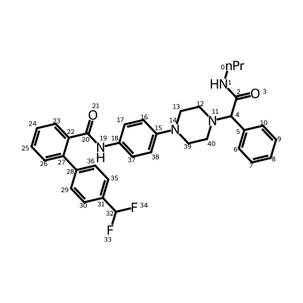 CCCNC(=O)C(c1ccccc1)N1CCN(c2ccc(NC(=O)c3ccccc3-c3ccc(C(F)F)cc3)cc2)CC1